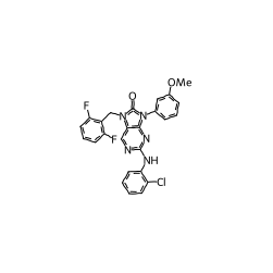 COc1cccc(-n2c(=O)n(Cc3c(F)cccc3F)c3cnc(Nc4ccccc4Cl)nc32)c1